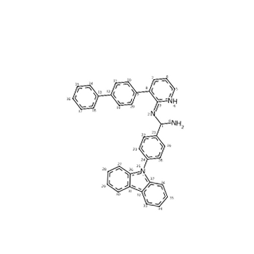 NC(/N=c1\[nH]cccc1-c1ccc(-c2ccccc2)cc1)c1ccc(-n2c3ccccc3c3ccccc32)cc1